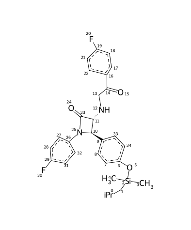 CC(C)C[Si](C)(C)Oc1ccc([C@@H]2[C@@H](NCC(=O)c3ccc(F)cc3)C(=O)N2c2ccc(F)cc2)cc1